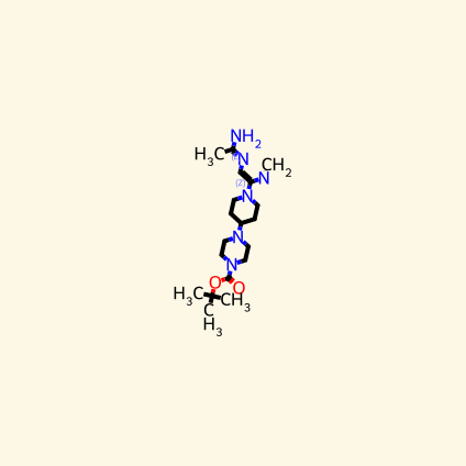 C=N/C(=C\N=C(/C)N)N1CCC(N2CCN(C(=O)OC(C)(C)C)CC2)CC1